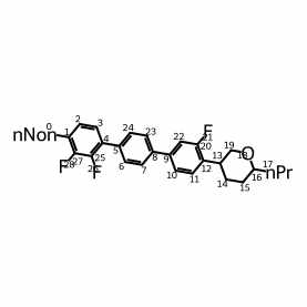 CCCCCCCCCc1ccc(-c2ccc(-c3ccc(C4CCC(CCC)OC4)c(F)c3)cc2)c(F)c1F